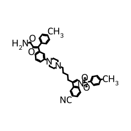 Cc1ccc(-c2c(C(N)=O)oc3ccc(N4CCN(CCCCc5cn(S(=O)(=O)c6ccc(C)cc6)c6ccc(C#N)cc56)CC4)cc23)cc1